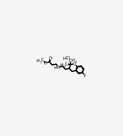 COC(=O)CCNCCC1Cc2cc(F)ccc2OC1(C)C.Cl